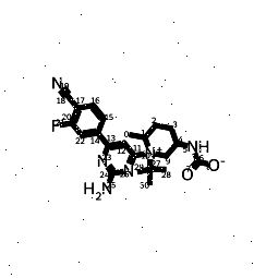 CC1CCC(NC(=O)[O-])C[N+]1(c1cc(-c2ccc(C#N)c(F)c2)nc(N)n1)C(C)(C)C